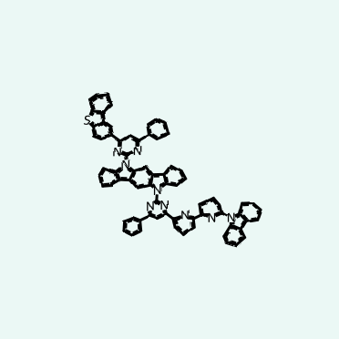 c1ccc(-c2cc(-c3ccc4sc5ccccc5c4c3)nc(-n3c4ccccc4c4cc5c(cc43)c3ccccc3n5-c3nc(-c4ccccc4)cc(-c4cccc(-c5cccc(-n6c7ccccc7c7ccccc76)n5)n4)n3)n2)cc1